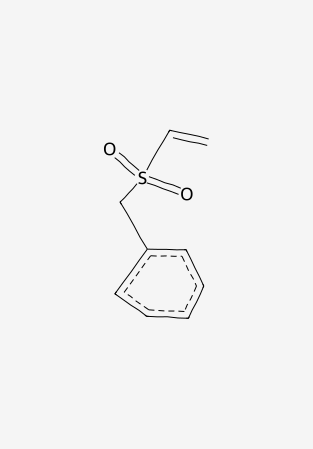 C=CS(=O)(=O)Cc1ccccc1